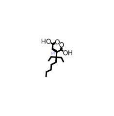 CCCCCC(CC)(CC)/C(=C/C(=O)O)C(=O)O